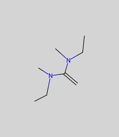 C=C(N(C)CC)N(C)CC